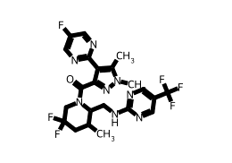 Cc1c(-c2ncc(F)cn2)c(C(=O)N2CC(F)(F)CC(C)C2CNc2ncc(C(F)(F)F)cn2)nn1C